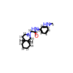 CNc1cccc(NC(=O)CN2CC[C@H]3CCCC[C@@H]3C2)c1